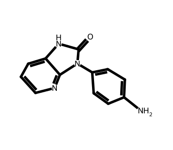 Nc1ccc(-n2c(=O)[nH]c3cccnc32)cc1